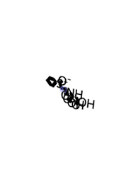 O=C(O)C[C@@H](NC(=O)/C=C/[S+]([O-])c1ccccc1)C(=O)O